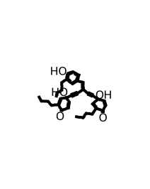 CCCCC1=CC(O)(C#CC(C#CC2(O)C=CC(=O)C(CCCC)=C2)=Cc2ccc(O)c(CCCC)c2)C=CC1=O